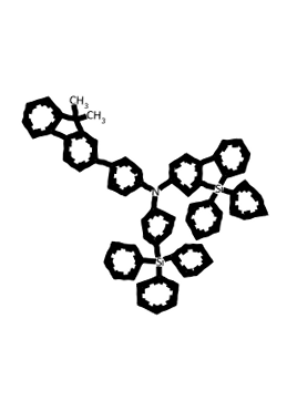 CC1(C)c2ccccc2-c2ccc(-c3ccc(N(c4ccc([Si](c5ccccc5)(c5ccccc5)c5ccccc5)cc4)c4ccc5c(c4)[Si](c4ccccc4)(c4ccccc4)c4ccccc4-5)cc3)cc21